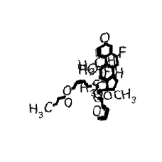 CCCC(=O)OC/C=C\CSC(=O)[C@@]1(OC(=O)c2ccco2)[C@H](C)C[C@H]2[C@@H]3C[C@H](F)C4=CC(=O)C=C[C@]4(C)[C@@]3(F)[C@@H](O)C[C@@]21C